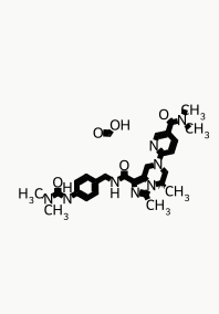 Cc1nc(C(=O)NCc2ccc(NC(=O)N(C)C)cc2)c2n1[C@H](C)CN(c1ccc(C(=O)N(C)C)cn1)C2.O=CO